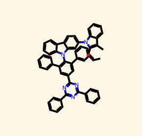 C/C=C\c1c(C)c2ccccc2n1-c1ccc2c3ccccc3n(-c3c(-c4ccccc4)cc(-c4nc(-c5ccccc5)nc(-c5ccccc5)n4)cc3-c3ccccc3)c2c1